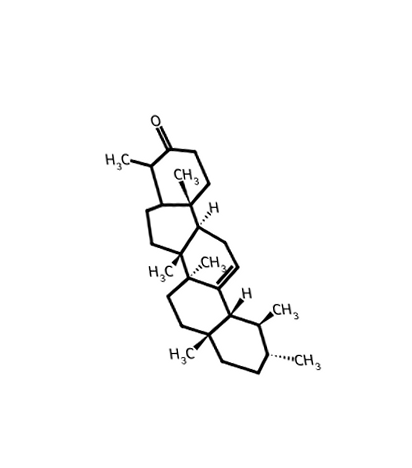 CC1C(=O)CC[C@@]2(C)C1CC[C@]1(C)[C@@H]2CC=C2[C@@H]3[C@@H](C)[C@H](C)CC[C@]3(C)CC[C@]21C